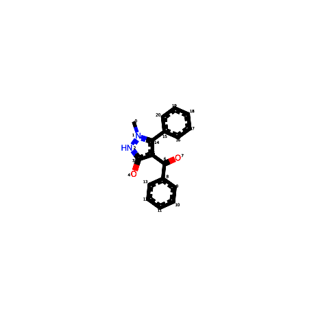 Cn1[nH]c(=O)c(C(=O)c2ccccc2)c1-c1ccccc1